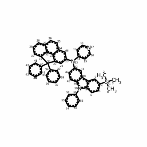 C[Si](C)(C)c1ccc2c(c1)c1cc(N(c3ccncc3)c3cc4c5c(ccc6cccc(c65)C4(c4ccccc4)c4ccccc4)c3)ccc1n2-c1ccccc1